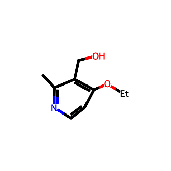 CCOc1ccnc(C)c1CO